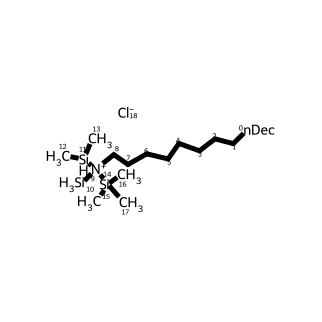 CCCCCCCCCCCCCCCCCC[N+]([SiH3])([SiH](C)C)[Si](C)(C)C.[Cl-]